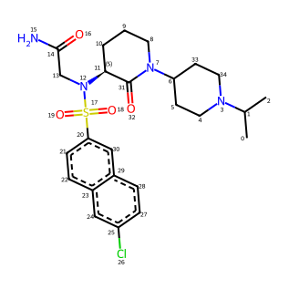 CC(C)N1CCC(N2CCC[C@H](N(CC(N)=O)S(=O)(=O)c3ccc4cc(Cl)ccc4c3)C2=O)CC1